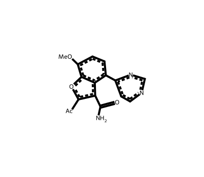 COc1ccc(-c2ccncn2)c2c(C(N)=O)c(C(C)=O)oc12